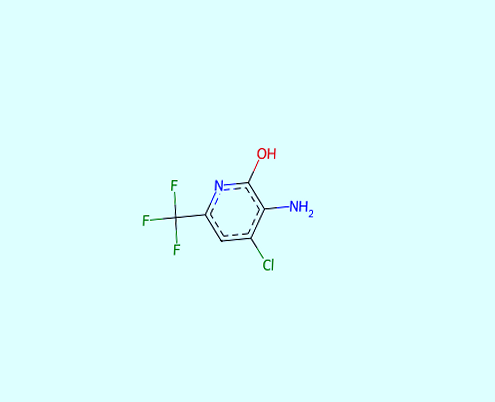 Nc1c(Cl)cc(C(F)(F)F)nc1O